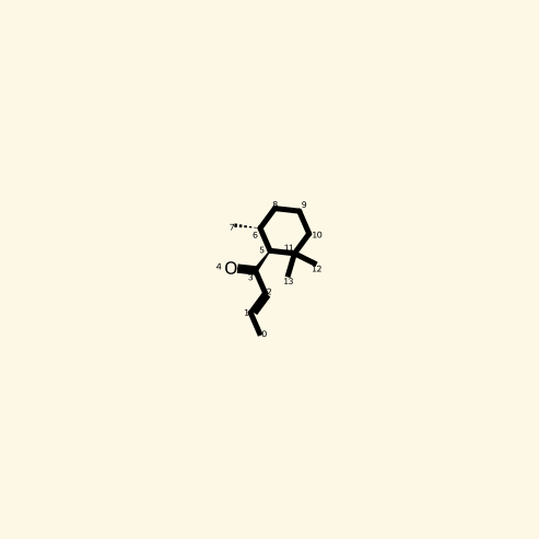 CC=CC(=O)[C@H]1[C@H](C)CCCC1(C)C